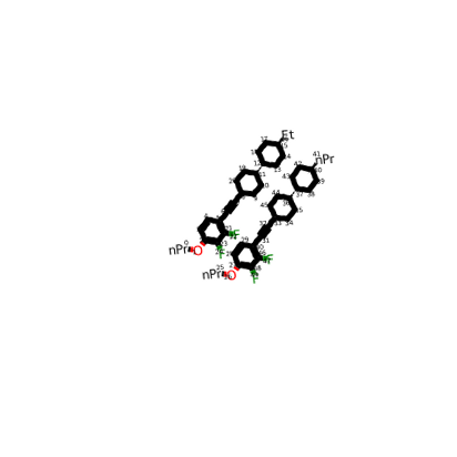 CCCOc1ccc(C#CC2CCC([C@H]3CC[C@H](CC)CC3)CC2)c(F)c1F.CCCOc1ccc(C#CC2CCC([C@H]3CC[C@H](CCC)CC3)CC2)c(F)c1F